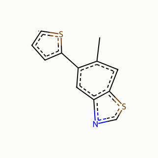 Cc1cc2scnc2cc1-c1cc[c]s1